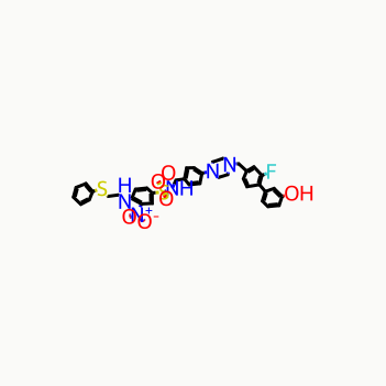 O=C(NS(=O)(=O)c1ccc(NCCSc2ccccc2)c([N+](=O)[O-])c1)c1ccc(N2CCN(Cc3ccc(-c4cccc(O)c4)c(F)c3)CC2)cc1